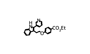 CCOC(=O)c1ccc(OCCc2c(-c3cccnc3)[nH]c3ccccc23)cc1